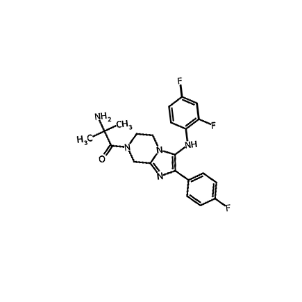 CC(C)(N)C(=O)N1CCn2c(nc(-c3ccc(F)cc3)c2Nc2ccc(F)cc2F)C1